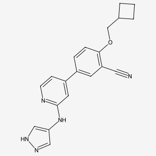 N#Cc1cc(-c2ccnc(Nc3cn[nH]c3)c2)ccc1OCC1CCC1